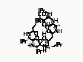 CCC(C)CCC(=O)N[C@H](C(=O)N[C@H](C(=O)N[C@@H](CC(C)C)[C@@H](O)CC(=O)N[C@@H](C)C(=O)N[C@@H](CC(C)C)[C@@H](O)CC(=O)O)C(C)C)C(C)C